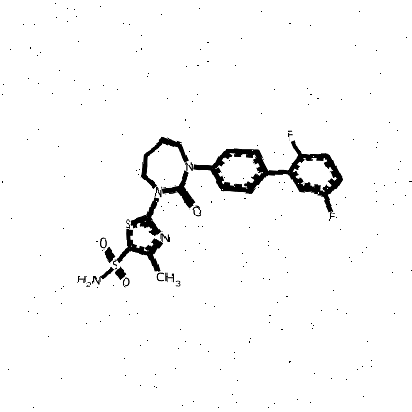 Cc1nc(N2CCCCN(c3ccc(-c4cc(F)ccc4F)cc3)C2=O)sc1S(N)(=O)=O